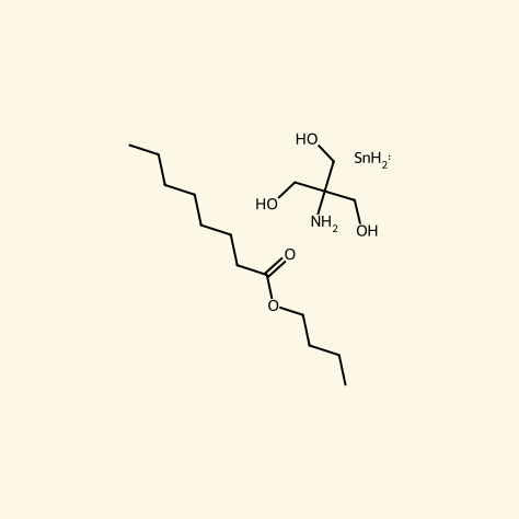 CCCCCCCC(=O)OCCCC.NC(CO)(CO)CO.[SnH2]